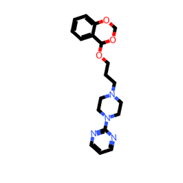 c1cnc(N2CCN(CCCOC3OCOc4ccccc43)CC2)nc1